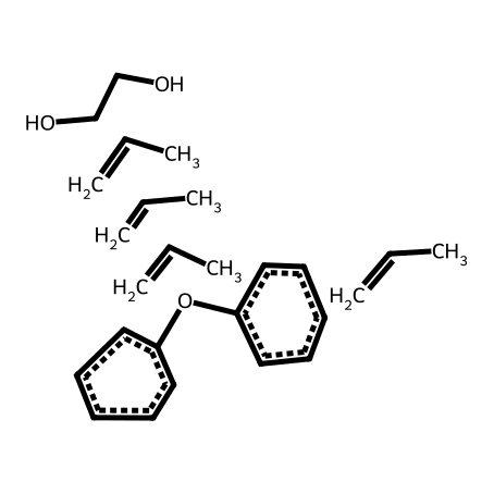 C=CC.C=CC.C=CC.C=CC.OCCO.c1ccc(Oc2ccccc2)cc1